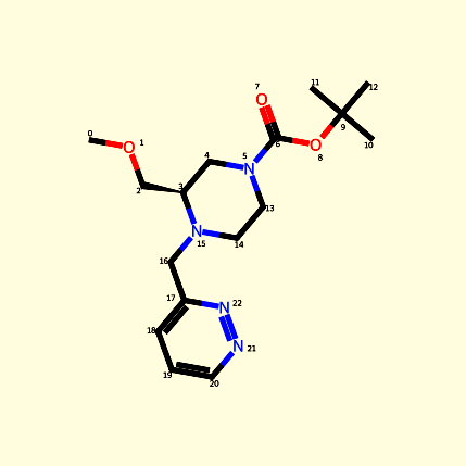 COC[C@H]1CN(C(=O)OC(C)(C)C)CCN1Cc1cccnn1